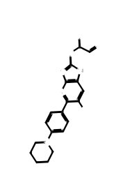 C=CC(C)Oc1nc2nc(-c3ccc(N4CCCCC4)cc3)c(Cl)cc2[nH]1